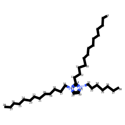 CCCCCCCCCCCCCCc1n(CCCCCCCCCCCCC)cc[n+]1CCCCCCC